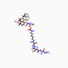 COC1C(OC(=O)N[C@@H](COC(=O)NCCCCCCNC(=O)CNC(=O)[C@@H](NC(=O)CNC(=O)CN)C(C)C)C(C)C)CC[C@]2(CO2)C1C1(C)O[C@@H]1CC=C(C)C